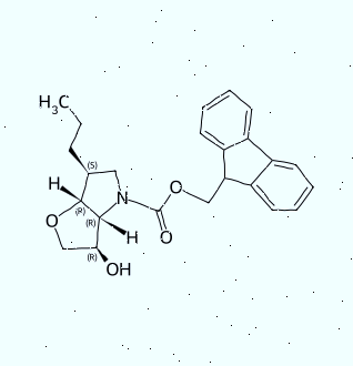 CCC[C@H]1CN(C(=O)OCC2c3ccccc3-c3ccccc32)[C@H]2[C@@H]1OC[C@@H]2O